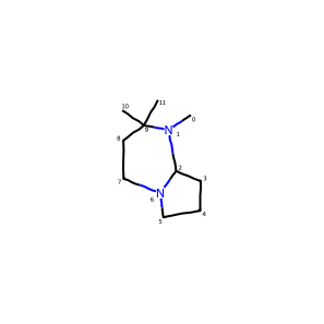 CN1C2CCCN2CCC1(C)C